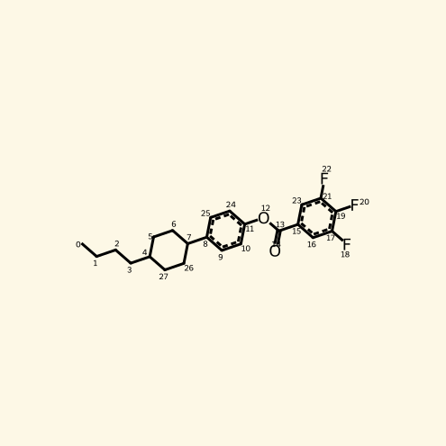 CCCCC1CCC(c2ccc(OC(=O)c3cc(F)c(F)c(F)c3)cc2)CC1